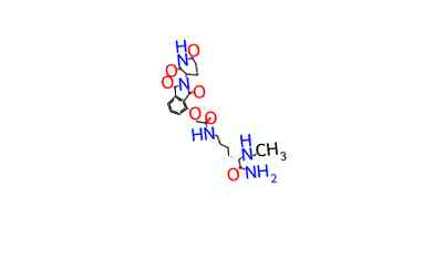 CCN[C@@H](CCCCNC(=O)COc1cccc2c1C(=O)N(C1CCC(=O)NC1=O)C2=O)C(N)=O